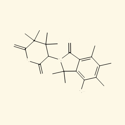 C=C1NC(=O)C(N2C(=O)c3c(C)c(C)c(C)c(N)c3C2(C)C)C(C)(C)C1(C)C